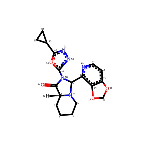 O=C1[C@H]2CCCCN2C(c2nccc3c2OCO3)N1c1nnc(C2CC2)o1